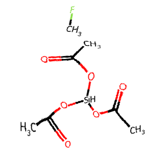 CC(=O)O[SiH](OC(C)=O)OC(C)=O.CF